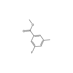 COC(=O)c1cc(C)[c]c(F)c1